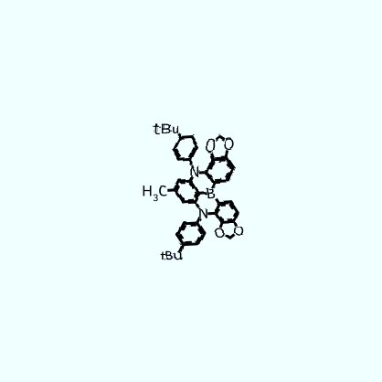 Cc1cc2c3c(c1)N(c1ccc(C(C)(C)C)cc1)c1c(ccc4c1OCO4)B3c1ccc3c(c1N2C1=CCC(C(C)(C)C)C=C1)OCO3